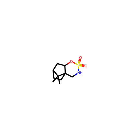 CC1(C)C2CCC13CNS(=O)(=O)OC3C2